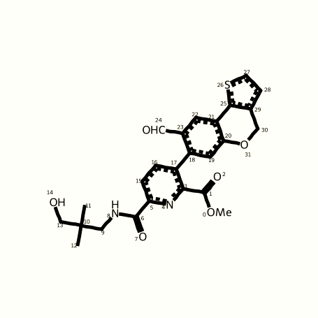 COC(=O)c1nc(C(=O)NCC(C)(C)CO)ccc1-c1cc2c(cc1C=O)-c1sccc1CO2